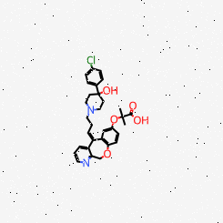 CC(C)(Oc1ccc2c(c1)C(=CCCN1CCC(O)(c3ccc(Cl)cc3)CC1)c1cccnc1CO2)C(=O)O